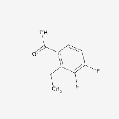 CCc1c(C(=O)O)ccc(F)c1F